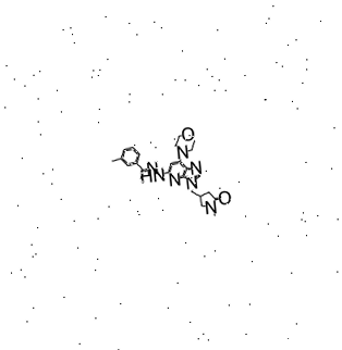 C/C(=N\Nc1cc(N2CCOCC2)c2ncn(CC3CC(=O)N(C)C3)c2n1)c1cccc(C)c1